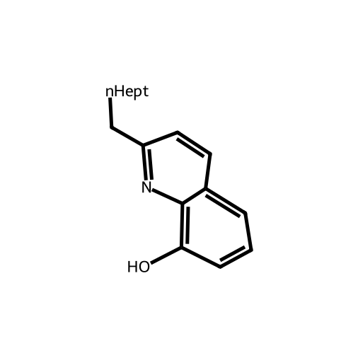 CCCCCCCCc1ccc2cccc(O)c2n1